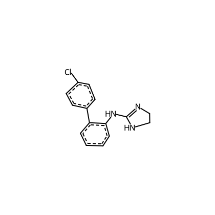 Clc1ccc(-c2ccccc2NC2=NCCN2)cc1